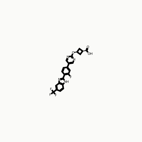 O=C(O)[C@H]1C[C@@H](Oc2ncc(-c3ccc(-c4nc5cc(C(F)(F)F)ccc5[nH]4)c(F)c3)cn2)C1